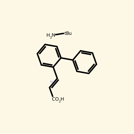 CC(C)(C)N.O=C(O)/C=C/c1ccccc1-c1ccccc1